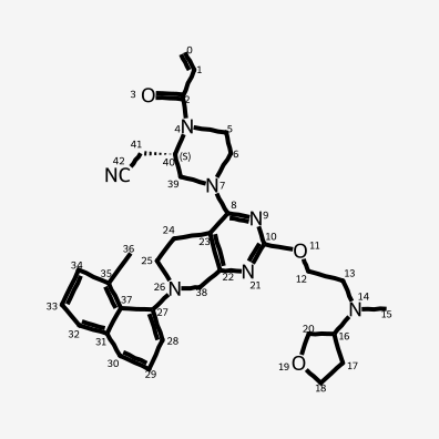 C=CC(=O)N1CCN(c2nc(OCCN(C)C3CCOC3)nc3c2CCN(c2cccc4cccc(C)c24)C3)C[C@@H]1CC#N